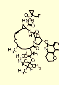 CC[C@@H]1C[C@@H](C)CC/C=C\C2C[C@@]2(C(=O)NS(=O)(=O)C2(CF)CC2)NC(=O)[C@@H]2C[C@@H](Oc3nc4c(c5ccccc35)OCCC4)CN2C(=O)C1NC(=O)OC(C)(C)C(C)(F)F